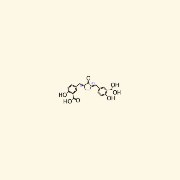 O=C1/C(=C/c2ccc(O)c(C(=O)O)c2)CC/C1=C\c1ccc(O)c(C(O)O)c1